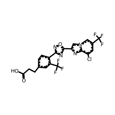 O=C(O)CCc1ccc(-c2noc(-c3cn4cc(C(F)(F)F)cc(Cl)c4n3)n2)c(C(F)(F)F)c1